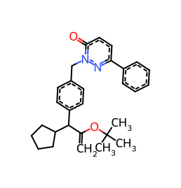 C=C(OC(C)(C)C)C(c1ccc(Cn2nc(-c3ccccc3)ccc2=O)cc1)C1CCCC1